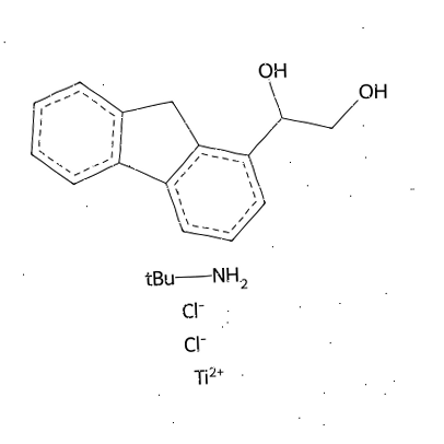 CC(C)(C)N.OCC(O)c1cccc2c1Cc1ccccc1-2.[Cl-].[Cl-].[Ti+2]